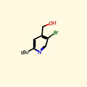 CC(C)(C)c1cc(CO)c(Br)cn1